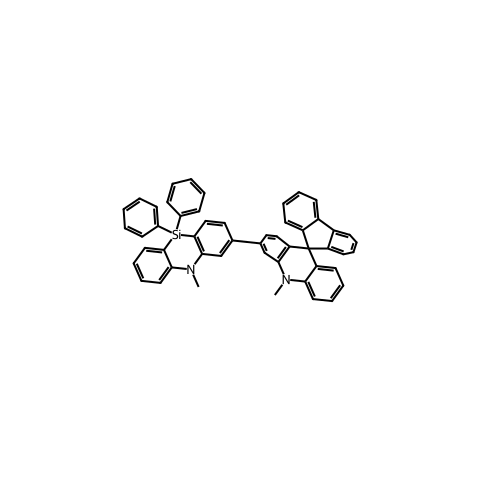 CN1c2ccccc2C2(c3ccccc3-c3ccccc32)c2ccc(-c3ccc4c(c3)N(C)c3ccccc3[Si]4(c3ccccc3)c3ccccc3)cc21